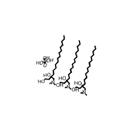 CCCCCCCCCCCCCCC(O)(CCO)CN(C)C.CCCCCCCCCCCCCCC(O)(CCO)CN(C)C.CCCCCCCCCCCCCCC(O)(CCO)CN(C)C.O=P(O)(O)O